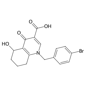 O=C(O)c1cn(Cc2ccc(Br)cc2)c2c(c1=O)C(O)CCC2